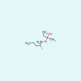 CCCC(F)[SiH2]OC(C)(O)CC